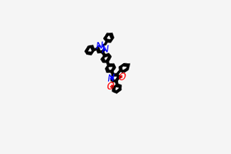 c1ccc(-c2cc(-c3ccc(-c4ccc(-c5nc6oc7ccccc7c6c6oc7ccccc7c56)cc4)cc3)nc(-c3ccccc3)n2)cc1